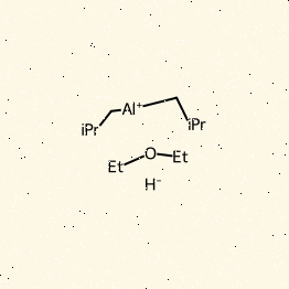 CC(C)[CH2][Al+][CH2]C(C)C.CCOCC.[H-]